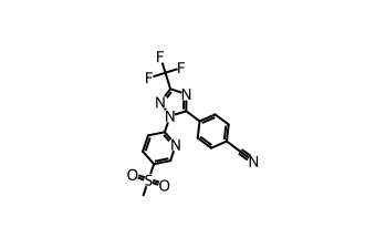 CS(=O)(=O)c1ccc(-n2nc(C(F)(F)F)nc2-c2ccc(C#N)cc2)nc1